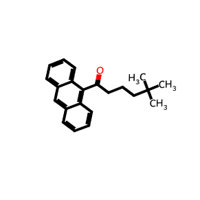 CC(C)(C)CCCC(=O)c1c2ccccc2cc2ccccc12